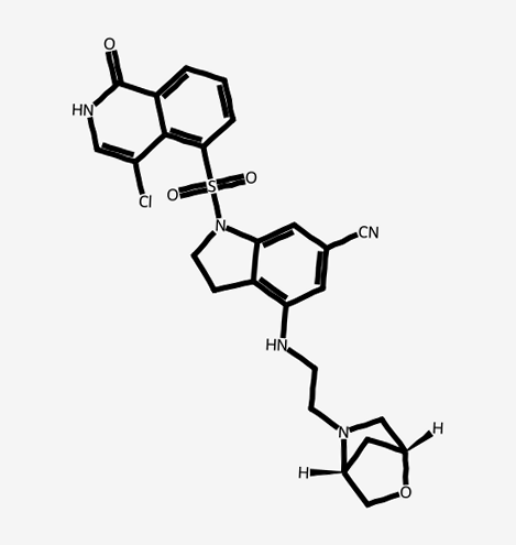 N#Cc1cc(NCCN2C[C@H]3C[C@@H]2CO3)c2c(c1)N(S(=O)(=O)c1cccc3c(=O)[nH]cc(Cl)c13)CC2